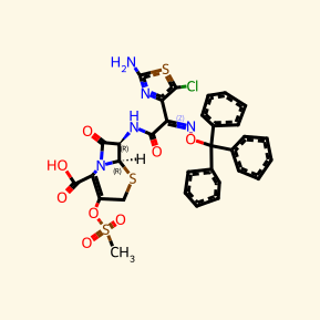 CS(=O)(=O)OC1=C(C(=O)O)N2C(=O)[C@@H](NC(=O)/C(=N\OC(c3ccccc3)(c3ccccc3)c3ccccc3)c3nc(N)sc3Cl)[C@H]2SC1